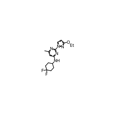 CCOc1ccn(-c2nc(C)cc(NC3CCC(F)(F)CC3)n2)n1